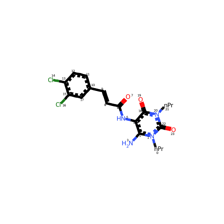 CCCn1c(N)c(NC(=O)/C=C/c2ccc(Cl)c(Cl)c2)c(=O)n(CCC)c1=O